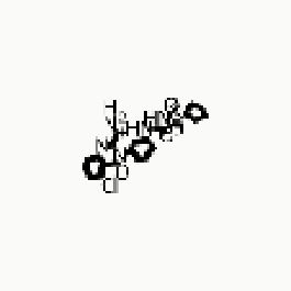 C[C@H](N)c1nc2cccc(Cl)c2c(=O)n1-c1cccc(NC(=O)NS(=O)(=O)C2CCCC2)c1